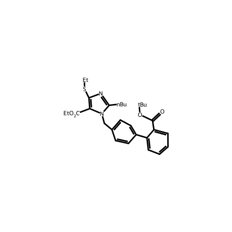 CCCCc1nc(SCC)c(C(=O)OCC)n1Cc1ccc(-c2ccccc2C(=O)OC(C)(C)C)cc1